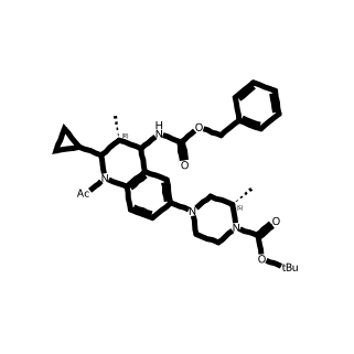 CC(=O)N1c2ccc(N3CCN(C(=O)OC(C)(C)C)[C@@H](C)C3)cc2C(NC(=O)OCc2ccccc2)[C@@H](C)C1C1CC1